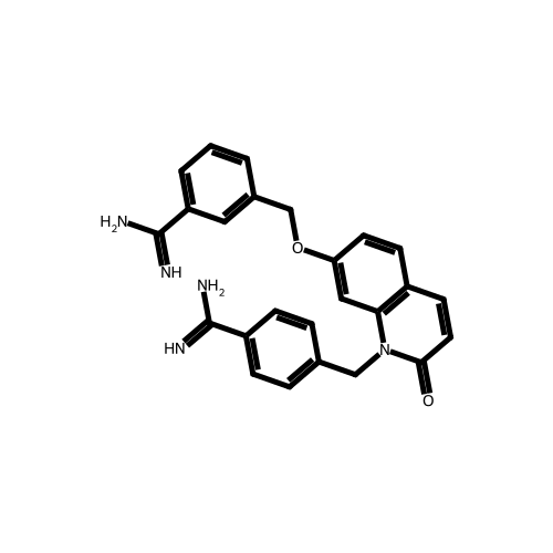 N=C(N)c1ccc(Cn2c(=O)ccc3ccc(OCc4cccc(C(=N)N)c4)cc32)cc1